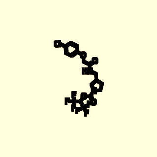 O=C(COc1ccc(Cl)cc1)NCC1CCN(C(=O)OC(C(F)(F)F)C(F)(F)F)C1